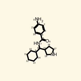 Nc1ccc(C(=O)NC(C2CCCCC2)C2CCNC2)cc1